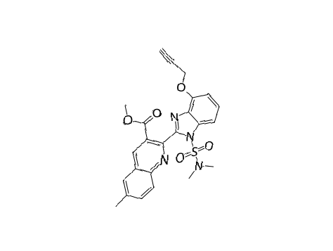 C#CCOc1cccc2c1nc(-c1nc3ccc(C)cc3cc1C(=O)OC)n2S(=O)(=O)N(C)C